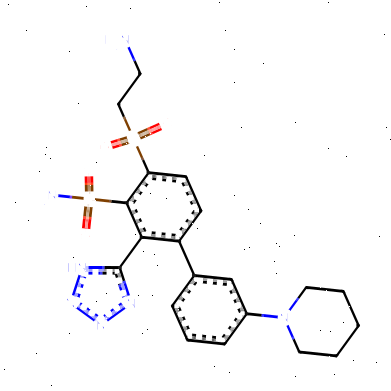 NCCS(=O)(=O)c1ccc(-c2cccc(N3CCCCC3)c2)c(-c2nnn[nH]2)c1S(N)(=O)=O